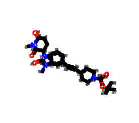 CN1C(=O)CCC(n2c(=O)n(C)c3cc(C#CC4CCN(C(=O)OC(C)(C)C)CC4)ccc32)C1=O